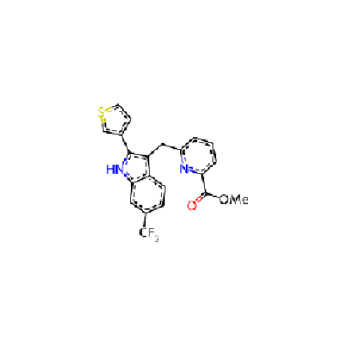 COC(=O)c1cccc(Cc2c(-c3ccsc3)[nH]c3cc(C(F)(F)F)ccc23)n1